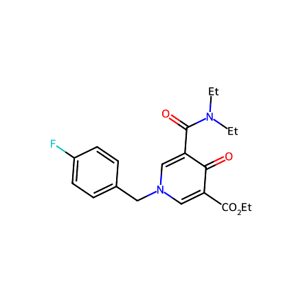 CCOC(=O)c1cn(Cc2ccc(F)cc2)cc(C(=O)N(CC)CC)c1=O